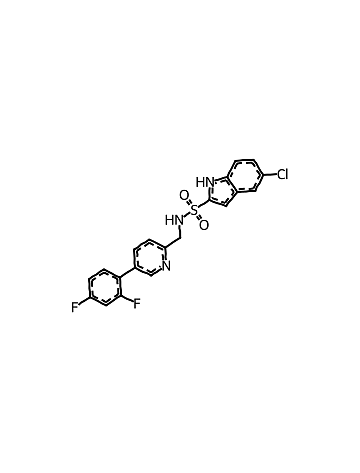 O=S(=O)(NCc1ccc(-c2ccc(F)cc2F)cn1)c1cc2cc(Cl)ccc2[nH]1